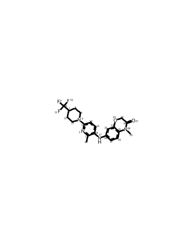 Cc1nc(N2CCC(C(F)(F)F)CC2)ccc1Nc1ccc2c(c1)OCC(=O)N2C